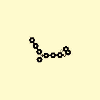 c1ccc(-c2ccc(-c3ccc(N(c4ccccc4)c4ccc(-c5ccc(-c6ccc7c(c6)Oc6cccc8cccc(c68)O7)cc5)cc4)cc3)cc2)cc1